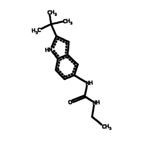 CCNC(=O)Nc1ccc2[nH]c(C(C)(C)C)cc2c1